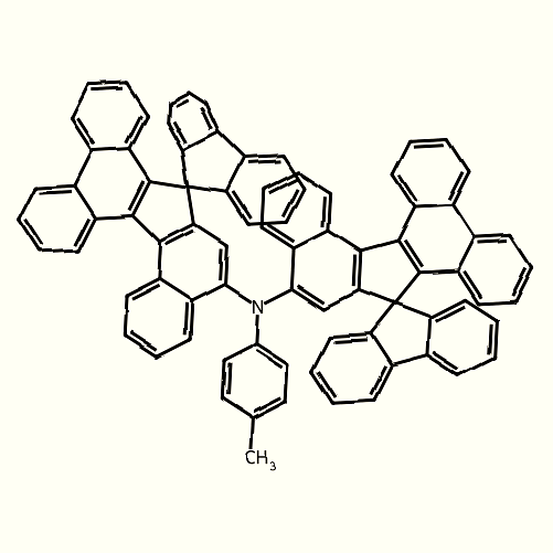 Cc1ccc(N(c2cc3c(c4ccccc24)-c2c(c4ccccc4c4ccccc24)C32c3ccccc3-c3ccccc32)c2cc3c(c4ccccc24)-c2c(c4ccccc4c4ccccc24)C32c3ccccc3-c3ccccc32)cc1